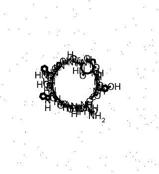 CCCC[C@H]1C(=O)N(C)[C@@H](CCCC)C(=O)N[C@@H](CC(C)C)C(=O)N[C@H](C(=O)NCC(N)=O)CSCC(=O)N[C@@H](Cc2ccc(O)cc2)C(=O)N(C)[C@@H](C)C(=O)N[C@H]2CCC(=O)NC[C@H](NC(=O)[C@@H]3CCCN3C2=O)C(=O)N[C@@H](CC(C)C)C(=O)N2CCC[C@H]2C(=O)N[C@@H](Cc2c[nH]c3ccccc23)C(=O)N[C@@H](CO)C(=O)N[C@@H](Cc2c[nH]c3ccccc23)C(=O)N1C